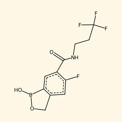 O=C(NCCC(F)(F)F)c1cc2c(cc1F)COB2O